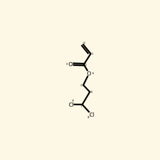 C=CC(=O)OCCC(Cl)Cl